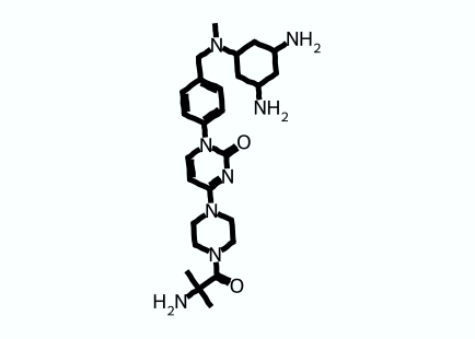 CN(Cc1ccc(-n2ccc(N3CCN(C(=O)C(C)(C)N)CC3)nc2=O)cc1)C1CC(N)CC(N)C1